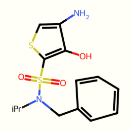 CC(C)N(Cc1ccccc1)S(=O)(=O)c1scc(N)c1O